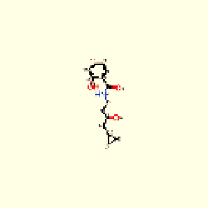 O=C(CCNC(=O)c1ccccc1O)CC1CC1